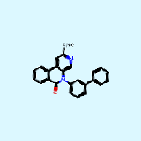 CSc1cc2c3ccccc3c(=O)n(-c3cccc(-c4ccccc4)c3)c2cn1